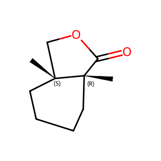 C[C@]12CCCC[C@@]1(C)C(=O)OC2